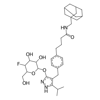 CC(C)c1[nH]nc(OC2OC(CO)C(F)C(O)C2O)c1Cc1ccc(CCCC(=O)NCC23CC4CC(CC(C4)C2)C3)cc1